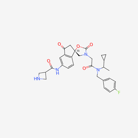 CC(C1CC1)N(Cc1ccc(F)cc1)C(=O)CN1C[C@@]2(CC(=O)c3cc(NC(=O)C4CNC4)ccc32)OC1=O